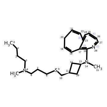 CCCCN(C)CCCSC[C@H]1C[C@@H](N(C)C2=C3\C=CCC=C\C3=C/C=C/C=N\2)C1